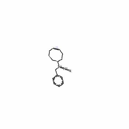 [N-]=[N+]=[N+](Cc1ccccc1)C1CC/C=C\CCC1